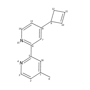 Cc1ccnc(-c2cc(C3C=CC3)ccn2)c1